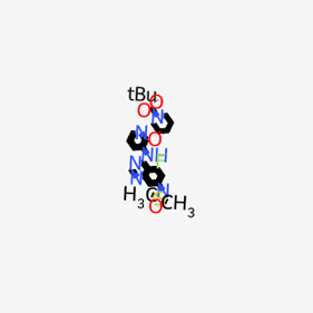 CC(C)(C)OC(=O)N1CCC[C@@H](Oc2ncccc2Nc2ncnc3cc(N=S(C)(C)=O)cc(F)c23)C1